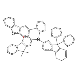 CC1(C)c2ccccc2-c2ccc(N(c3ccc4c(c3)C(c3ccccc3)(c3ccccc3)C3=C4CCC=C3)c3ccccc3-c3ccc4oc5ccccc5c4c3)cc21